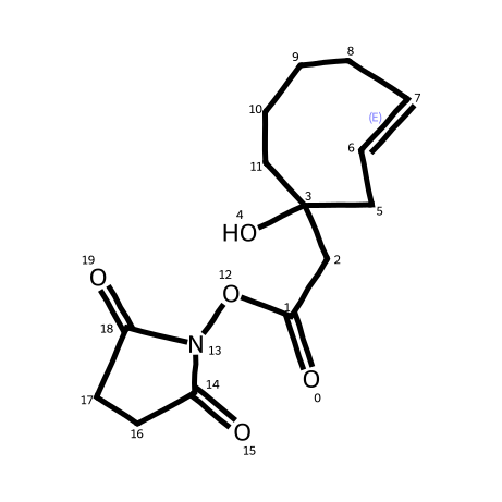 O=C(CC1(O)C/C=C/CCCC1)ON1C(=O)CCC1=O